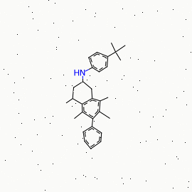 Cc1c(C)c(-c2ccccc2)c(C)c2c1CC(Nc1ccc(C(C)(C)C)cc1)CC2C